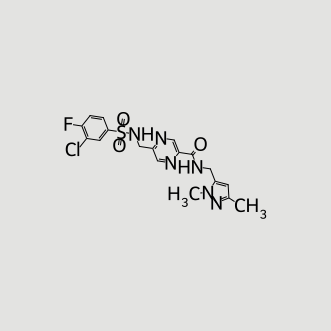 Cc1cc(CNC(=O)c2cnc(CNS(=O)(=O)c3ccc(F)c(Cl)c3)cn2)n(C)n1